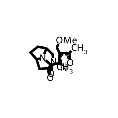 COCc1c(C(=O)N2C3CCC2CN(C)C(=O)C3)noc1C